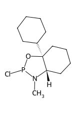 CN1[C@H]2CCCC[C@]2(C2CCCCC2)OP1Cl